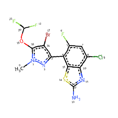 Cn1nc(-c2c(F)cc(Cl)c3nc(N)sc23)c(Br)c1OC(F)F